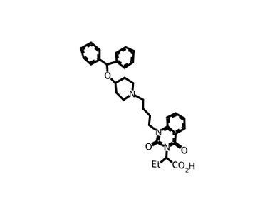 CCC(C(=O)O)n1c(=O)c2ccccc2n(CCCCN2CCC(OC(c3ccccc3)c3ccccc3)CC2)c1=O